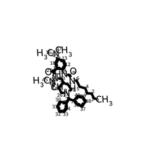 CCCCCCCNC(=O)Nc1ccc(N(C)C)cc1C(=O)N(CC1CCN(C(c2ccccc2)c2ccccc2)CC1)N(C)C